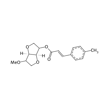 COC1CO[C@@H]2C(OC(=O)/C=C/c3ccc(C)cc3)CO[C@H]12